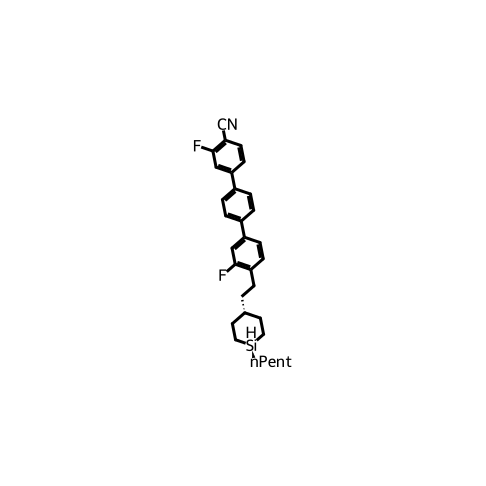 CCCCC[Si@H]1CC[C@H](CCc2ccc(-c3ccc(-c4ccc(C#N)c(F)c4)cc3)cc2F)CC1